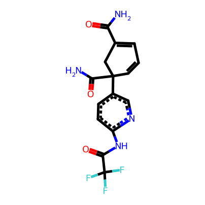 NC(=O)C1=CC=CC(C(N)=O)(c2ccc(NC(=O)C(F)(F)F)nc2)C1